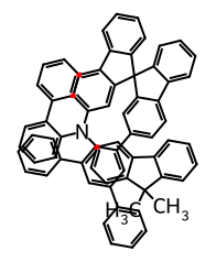 CC1(C)c2ccccc2-c2cc(N(c3ccc4c(c3)C3(c5ccccc5-c5ccc(-c6cc(-c7ccccc7)cc(-c7ccccc7)c6)cc53)c3ccccc3-4)c3ccccc3-c3ccccc3)ccc21